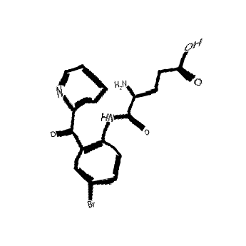 NC(CCC(=O)O)C(=O)Nc1ccc(Br)cc1C(=O)c1ccccn1